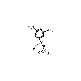 CC(C)(C)[S@@+]([O-])N[C@H](CF)c1cc([N+](=O)[O-])cc(C(F)(F)F)c1